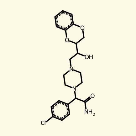 NC(=O)C(c1ccc(Cl)cc1)N1CCN(CC(O)C2COc3ccccc3O2)CC1